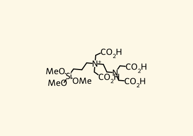 CO[Si](CCC[N+](CCN(CC(=O)O)CC(=O)O)(CC(=O)O)CC(=O)O)(OC)OC